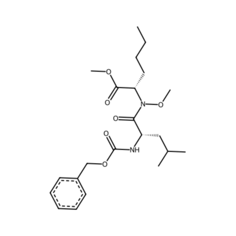 CCCC[C@@H](C(=O)OC)N(OC)C(=O)[C@H](CC(C)C)NC(=O)OCc1ccccc1